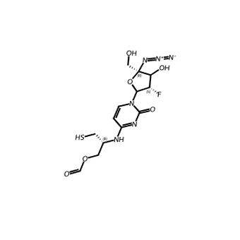 [N-]=[N+]=N[C@]1(CO)OC(n2ccc(N[C@@H](CS)COC=O)nc2=O)[C@@H](F)C1O